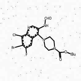 CC(C)(C)OC(=O)N1CCN(c2c(NC=O)cnc3c(Cl)c(Br)c(F)cc23)CC1